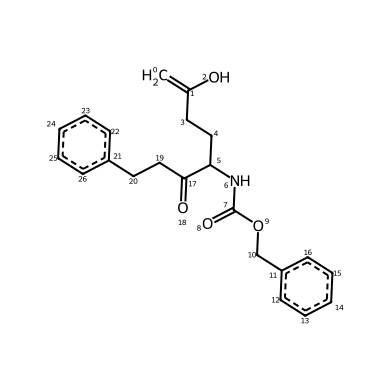 C=C(O)CCC(NC(=O)OCc1ccccc1)C(=O)CCc1ccccc1